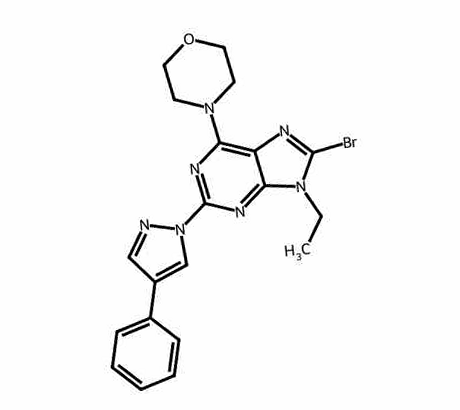 CCn1c(Br)nc2c(N3CCOCC3)nc(-n3cc(-c4ccccc4)cn3)nc21